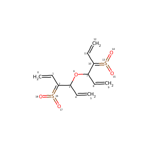 C=CC(C(C=C)OC(C=C)C(C=C)=S(=O)=O)=S(=O)=O